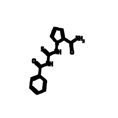 NC(=O)c1cccn1NC(=S)NC(=O)c1ccccc1